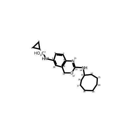 C1CC1.O=C(O)Nc1ccc2c(c1)COC(NC1CCCCCCC1)=N2